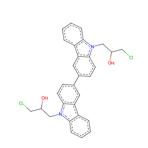 OC(CCl)Cn1c2ccccc2c2cc(-c3ccc4c(c3)c3ccccc3n4CC(O)CCl)ccc21